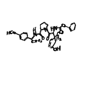 C#Cc1ccc(C(C)NC(=O)C2CCCN2C(=O)C(NC(=O)Oc2ccccc2)C(C)(C)CCO)cc1